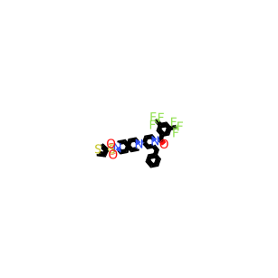 O=C(c1cc(C(F)(F)F)cc(C(F)(F)F)c1)N1CCC(N2CCC3(CC2)CCN(S(=O)(=O)c2ccsc2)CC3)CC1Cc1ccccc1